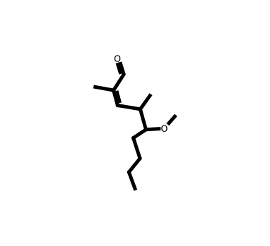 CCCCC(OC)C(C)C=C(C)C=O